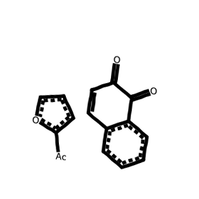 CC(=O)c1ccco1.O=C1C=Cc2ccccc2C1=O